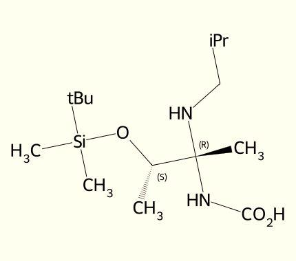 CC(C)CN[C@](C)(NC(=O)O)[C@H](C)O[Si](C)(C)C(C)(C)C